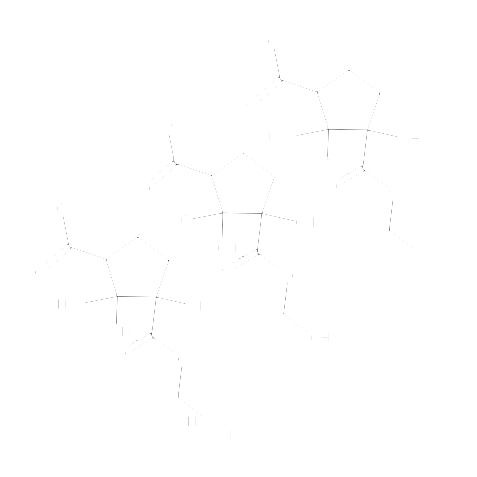 CCOC(=O)C1(C)CCC(C(=O)[O-])C1(C)C.CCOC(=O)C1(C)CCC(C(=O)[O-])C1(C)C.CCOC(=O)C1(C)CCC(C(=O)[O-])C1(C)C.[Bi+3]